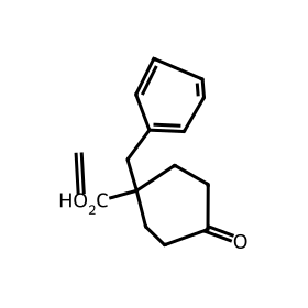 C=C.O=C1CCC(Cc2ccccc2)(C(=O)O)CC1